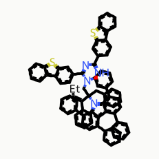 CC/C=C(/c1ccccc1)C(Cc1ccccc1)(CN(C)/C(=N\C(=N)c1ccc2c(c1)sc1ccccc12)c1ccc2c(c1)sc1ccccc12)n1c2c(-c3ccccc3)ccc(-c3ccccc3)c2c2c(-c3ccccc3)ccc(-c3ccccc3)c21